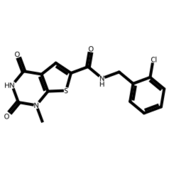 Cn1c(=O)[nH]c(=O)c2cc(C(=O)NCc3ccccc3Cl)sc21